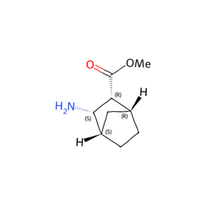 COC(=O)[C@@H]1[C@@H]2CC[C@@H](C2)[C@@H]1N